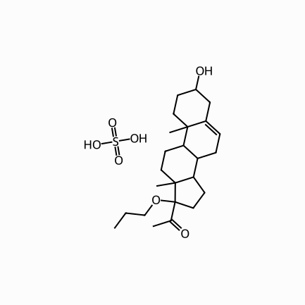 CCCOC1(C(C)=O)CCC2C3CC=C4CC(O)CCC4(C)C3CCC21C.O=S(=O)(O)O